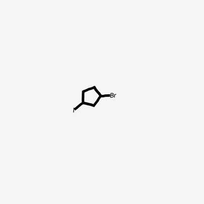 BrC1CCC(I)C1